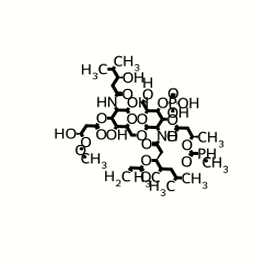 C=CC(=O)O[C@@H](CC(=O)NC1C(OCC2OC(O)C(NC(=O)C[C@H](O)C(C)C)C(OC(=O)C[C@H](O)OOC)C2O)OC(CO)C(OP(=O)(O)O)C1OC(=O)C[C@@H](C)OC(=O)PC)C(C)CC(C)C